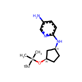 CC(C)(C)[Si](C)(C)O[C@@H]1CC[C@H](Nc2ccc(N)cn2)C1